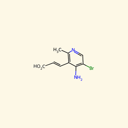 Cc1ncc(Br)c(N)c1/C=C/C(=O)O